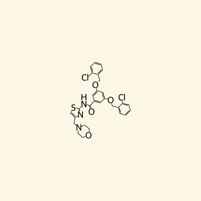 O=C(Nc1nc(CN2CCOCC2)cs1)c1cc(OCc2ccccc2Cl)cc(OCc2ccccc2Cl)c1